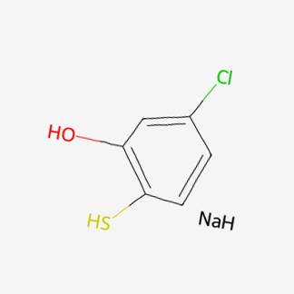 Oc1cc(Cl)ccc1S.[NaH]